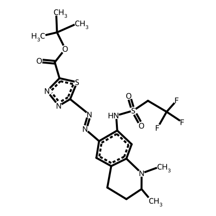 CC1CCc2cc(N=Nc3nnc(C(=O)OC(C)(C)C)s3)c(NS(=O)(=O)CC(F)(F)F)cc2N1C